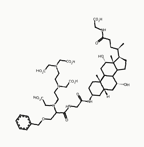 C[C@H](CCC(=O)NCC(=O)O)[C@H]1CCC2C3C(C[C@H](O)[C@@]21C)[C@@]1(C)CC[C@H](NC(=O)CNC(=O)C(COCc2ccccc2)N(CCN(CCN(CC(=O)O)CC(=O)O)CC(=O)O)CC(=O)O)C[C@H]1C[C@H]3O